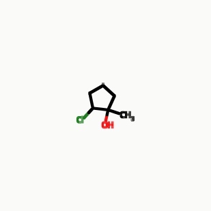 CC1(O)C[CH]CC1Cl